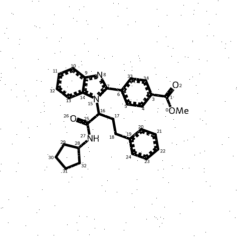 COC(=O)c1ccc(-c2nc3ccccc3n2C(CCc2ccccc2)C(=O)NC2CCCC2)cc1